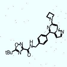 CC(C)(C)c1nc(C(=O)NCc2ccc(-c3nc(N4CCC4)cn4nccc34)cc2)no1